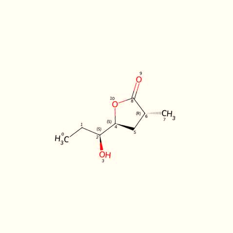 CC[C@H](O)[C@@H]1C[C@@H](C)C(=O)O1